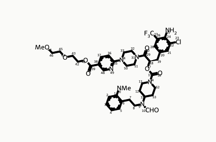 CNc1ccccc1CCN(C=O)C1CCN(C(=O)O[C@H](Cc2cc(Cl)c(N)c(C(F)(F)F)c2)C(=O)N2CCN(c3ccc(C(=O)OCCOCCOC)cn3)CC2)CC1